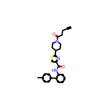 C#CCCC(=O)N1CCC(c2nc(C(=O)Nc3ccccc3-c3ccc(C)cc3)cs2)CC1